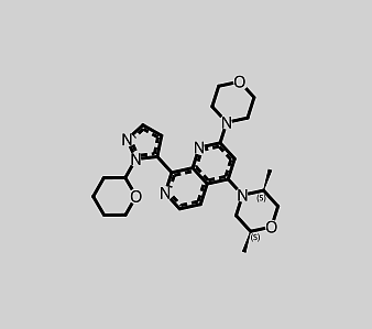 C[C@H]1CN(c2cc(N3CCOCC3)nc3c(-c4ccnn4C4CCCCO4)nccc23)[C@@H](C)CO1